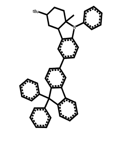 CC(C)(C)C1CCC2(C)C(C1)c1cc(-c3ccc4c(c3)-c3ccccc3C4(c3ccccc3)c3ccccc3)ccc1N2c1ccccc1